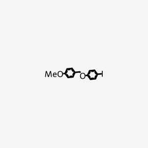 COc1ccc(COc2ccc(I)cc2)cc1